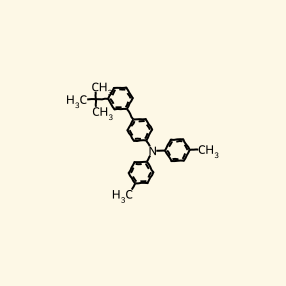 Cc1ccc(N(c2ccc(C)cc2)c2ccc(-c3cccc(C(C)(C)C)c3)cc2)cc1